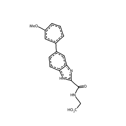 COc1cccc(-c2ccc3[nH]c(C(=O)NCC(=O)O)nc3c2)c1